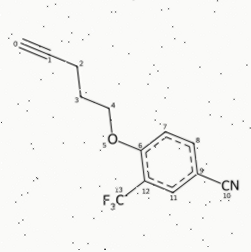 C#CCCCOc1ccc(C#N)cc1C(F)(F)F